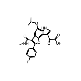 CNC(=O)c1c(-c2ccc(F)cc2)oc2c1cc(OC(C)C)c1[nH]cc(C(=O)C(=O)O)c12